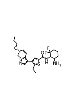 CCCON1C=Cc2c(-c3cc(C(=O)NC4C(N)CCCC4(F)F)sc3CC)cnn2C1